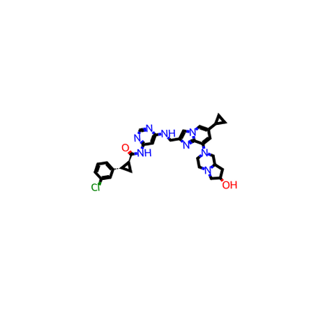 O=C(Nc1cc(NCc2cn3cc(C4CC4)cc(N4CCN5CC(O)CC5C4)c3n2)ncn1)[C@H]1C[C@@H]1c1cccc(Cl)c1